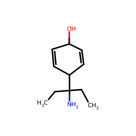 CCC(N)(CC)C1C=CC(O)C=C1